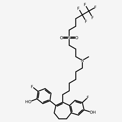 CN(CCCCCCC1=C(c2ccc(F)c(O)c2)CCCc2cc(O)c(F)cc21)CCCS(=O)(=O)CCCC(F)(F)C(F)(F)F